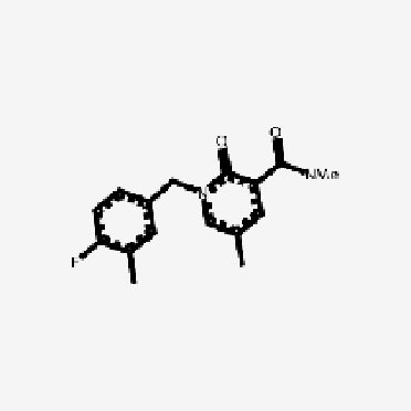 CNC(=O)c1cc(C)cn(Cc2ccc(F)c(C)c2)c1=O